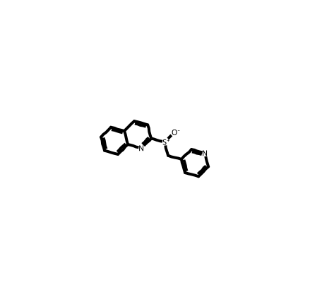 [O-][S+](Cc1cccnc1)c1ccc2ccccc2n1